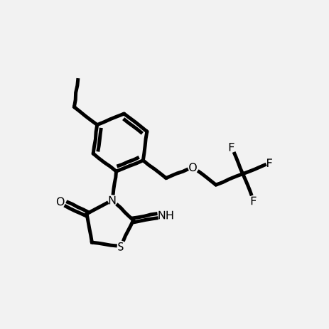 CCc1ccc(COCC(F)(F)F)c(N2C(=N)SCC2=O)c1